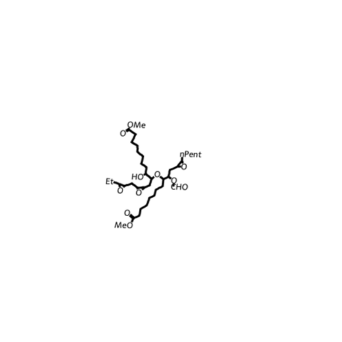 CCCCCC1OC1CC(OC=O)C(CCCCCCCC(=O)OC)OC(CC1OC1CC1OC1CC)C(O)CCCCCCCC(=O)OC